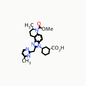 COC(=O)N1c2ccc3c(nc(Cc4nccc(C)n4)n3[C@@H]3CCC[C@@H](C(=O)O)C3)c2CC[C@@H]1C